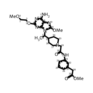 COCCOc1nc(N)c2nc(OC)n(C(C)C3CCN(CC(=O)Nc4cccc(CC(=O)OC)c4)CC3)c2n1